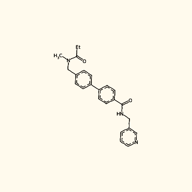 CCC(=O)N(C)Cc1ccc(-c2ccc(C(=O)NCc3cccnc3)cc2)cc1